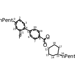 CCCCCc1ccc(-c2ccc(C(=O)O[C@H]3CC[C@H](CCCCC)CC3)cc2)c(F)c1